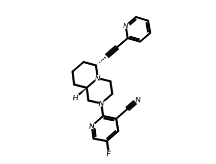 N#Cc1cc(F)cnc1N1CCN2[C@@H](CCC[C@@H]2C#Cc2ccccn2)C1